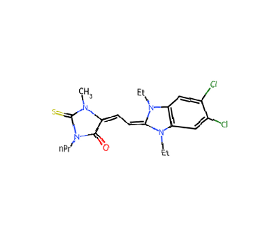 CCCN1C(=O)C(=CC=C2N(CC)c3cc(Cl)c(Cl)cc3N2CC)N(C)C1=S